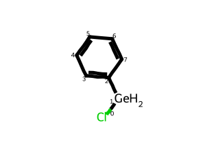 [Cl][GeH2][c]1ccccc1